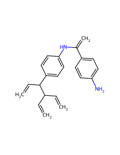 C=CC(C=C)C(C=C)c1ccc(NC(=C)c2ccc(N)cc2)cc1